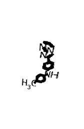 Cc1ccc(Nc2ccc(-c3cn4cccnc4n3)cc2)cc1